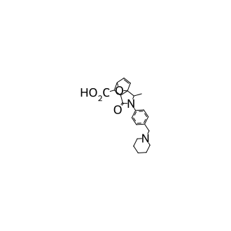 CC1N(c2ccc(CN3CCCCC3)cc2)C(=O)C2C(C(=O)O)C3C=CC21O3